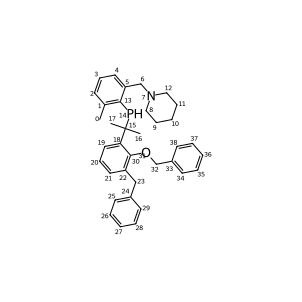 Cc1cccc(CN2CCCCC2)c1PC(C)(C)c1cccc(Cc2ccccc2)c1OCc1ccccc1